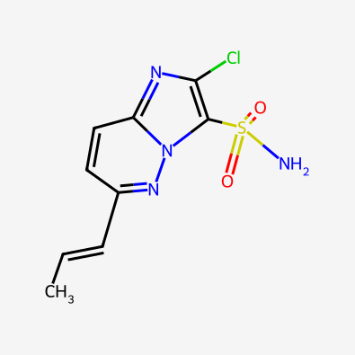 C/C=C/c1ccc2nc(Cl)c(S(N)(=O)=O)n2n1